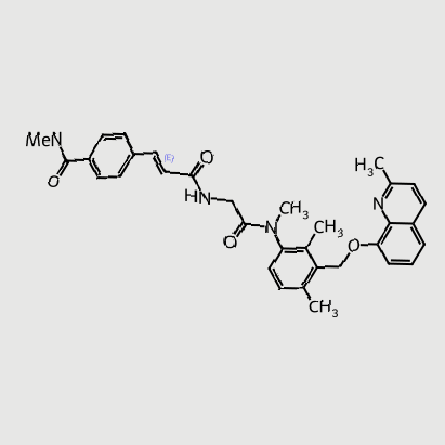 CNC(=O)c1ccc(/C=C/C(=O)NCC(=O)N(C)c2ccc(C)c(COc3cccc4ccc(C)nc34)c2C)cc1